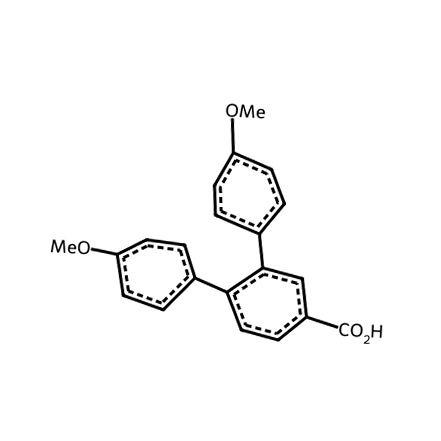 COc1ccc(-c2ccc(C(=O)O)cc2-c2ccc(OC)cc2)cc1